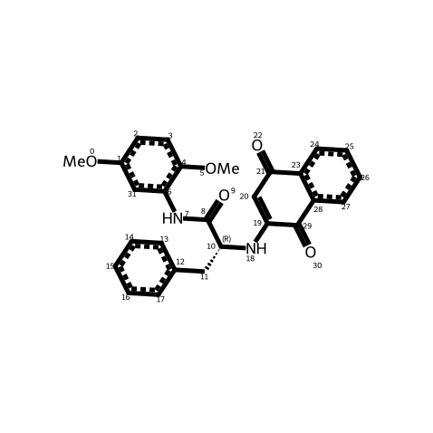 COc1ccc(OC)c(NC(=O)[C@@H](Cc2ccccc2)NC2=CC(=O)c3ccccc3C2=O)c1